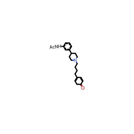 CC(=O)Nc1cccc(C2CCN(CCCCC3=CCC(=O)C=C3)CC2)c1